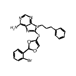 Nc1ncnc2c1nc(SC1=COC(c3ccccc3Br)O1)n2CCCc1ccccc1